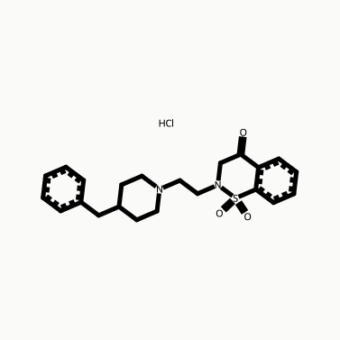 Cl.O=C1CN(CCN2CCC(Cc3ccccc3)CC2)S(=O)(=O)c2ccccc21